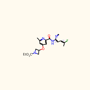 C=N/C(=C\C=C(/C)F)NC(=O)c1cc(OC2CN(C(=O)OCC)C2)cc(C)n1